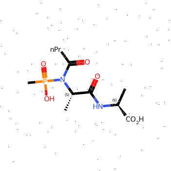 CCCC(=O)N([C@@H](C)C(=O)N[C@@H](C)C(=O)O)P(C)(=O)O